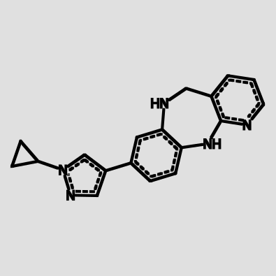 c1cnc2c(c1)CNc1cc(-c3cnn(C4CC4)c3)ccc1N2